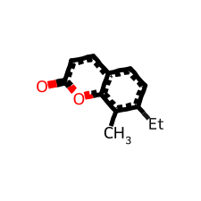 CCc1ccc2ccc(=O)oc2c1C